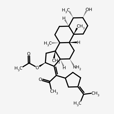 CC(=O)O[C@H]1C[C@@]2(C)[C@H](/C1=C(/C(C)=O)C1CCC(=C(C)C)C1)[C@@H](N)C[C@H]1[C@@]3(C)CC[C@@H](O)[C@@H](C)[C@@H]3CC[C@@]12C